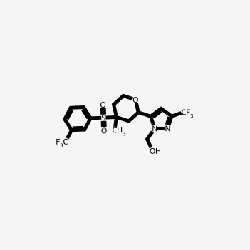 CC1(S(=O)(=O)c2cccc(C(F)(F)F)c2)CCOC(c2cc(C(F)(F)F)nn2CO)C1